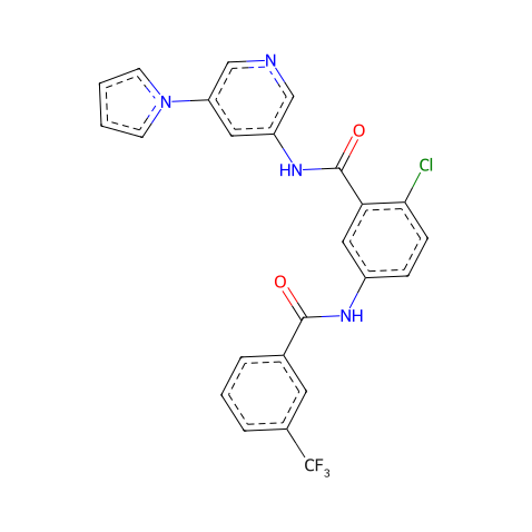 O=C(Nc1ccc(Cl)c(C(=O)Nc2cncc(-n3cccc3)c2)c1)c1cccc(C(F)(F)F)c1